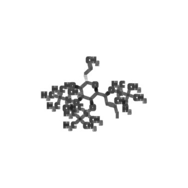 C=CC[C@@H]1O[C@@H]([C@H](/C=C/I)O[Si](C)(C)C(C)(C)C)[C@@H](O[Si](C)(C)C(C)(C)C)[C@@H](O[Si](C)(C)C(C)(C)C)[C@H]1O